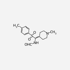 Cc1ccc(S(=O)(=O)C(NC=O)=C2CCN(C)CC2)cc1